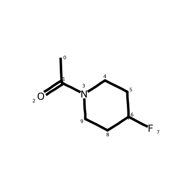 CC(=O)N1CC[C](F)CC1